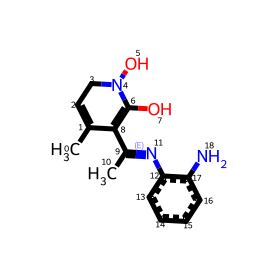 CC1=CCN(O)C(O)=C1/C(C)=N/c1ccccc1N